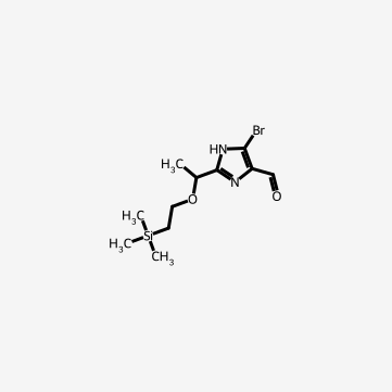 CC(OCC[Si](C)(C)C)c1nc(C=O)c(Br)[nH]1